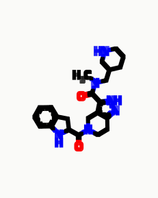 CN(CC1CCCNC1)C(=O)c1[nH]nc2c1CN(C(=O)C1Cc3ccccc3N1)CC2